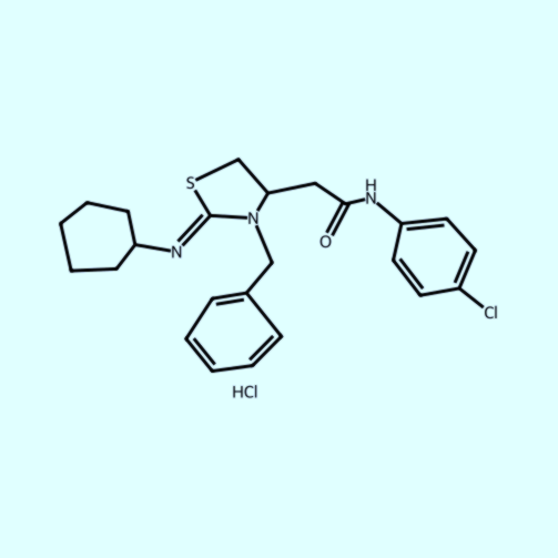 Cl.O=C(CC1CS/C(=N\C2CCCCC2)N1Cc1ccccc1)Nc1ccc(Cl)cc1